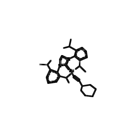 CC(C)c1cccc(C(C)C)c1-n1ccn(-c2c(C(C)C)cccc2C(C)C)[c]1=[Au][C]#CC1CCCCC1